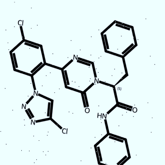 O=C(Nc1ccncc1)[C@H](Cc1ccccc1)n1cnc(-c2cc(Cl)ccc2-n2cc(Cl)nn2)cc1=O